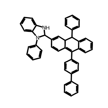 C1=CC2=C(c3ccc(-c4ccccc4)cc3)c3ccccc3C(c3ccccc3)C2C=C1C1Nc2ccccc2N1c1ccccc1